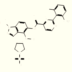 COc1cccc(F)c1-c1nccc(C(=O)Nc2ccc3c(cnn3C)c2N(C)[C@H]2CCN(S(C)(=O)=O)C2)n1